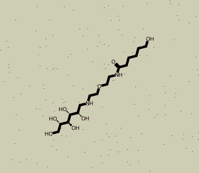 O=C(CCCCCO)NCCOCCNC[C@H](O)[C@@H](O)[C@@H](O)[C@@H](O)CO